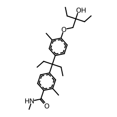 CCC(O)(CC)COc1ccc(C(CC)(CC)c2ccc(C(=O)NC)c(C)c2)cc1C